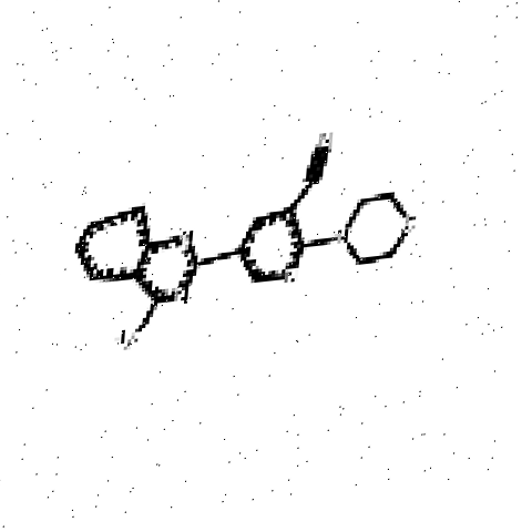 Cc1nc(-c2cnc(N3CCOCC3)c(C#N)c2)nc2ccccc12